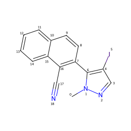 Cn1ncc(I)c1-c1ccc2ccccc2c1C#N